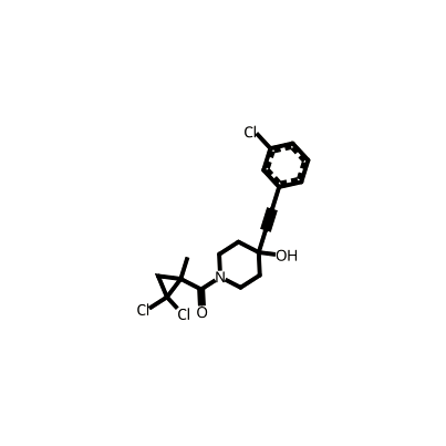 CC1(C(=O)N2CCC(O)(C#Cc3cccc(Cl)c3)CC2)CC1(Cl)Cl